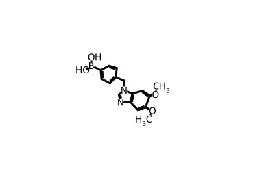 COc1cc2ncn(Cc3ccc(B(O)O)cc3)c2cc1OC